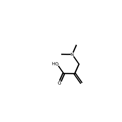 C=C(CN(C)C)C(=O)O